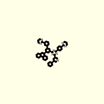 c1ccc(-c2cncc(-c3nc(-c4ccc(-c5ncccn5)cc4)nc(-c4cc(-c5cccc(-c6ncccn6)c5)cc(-c5cc6ccccc6c6ccccc56)c4)n3)c2)cc1